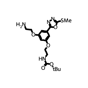 CSc1nnc(-c2cc(OCCN)cc(OCCNC(=O)OC(C)(C)C)c2)o1